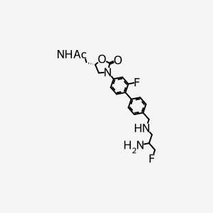 CC(=O)NC[C@H]1CN(c2ccc(-c3ccc(CNCC(N)CF)cc3)c(F)c2)C(=O)O1